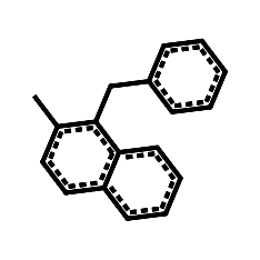 Cc1ccc2ccccc2c1Cc1ccccc1